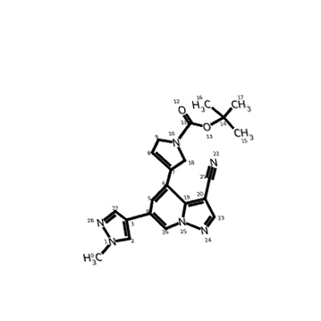 Cn1cc(-c2cc(C3=CCN(C(=O)OC(C)(C)C)C3)c3c(C#N)cnn3c2)cn1